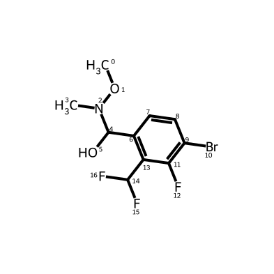 CON(C)C(O)c1ccc(Br)c(F)c1C(F)F